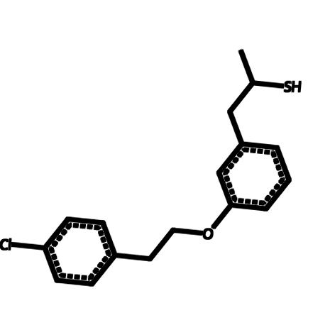 CC(S)Cc1cccc(OCCc2ccc(Cl)cc2)c1